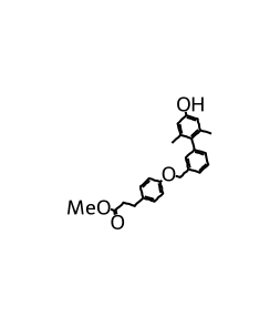 COC(=O)CCc1ccc(OCc2cccc(-c3c(C)cc(O)cc3C)c2)cc1